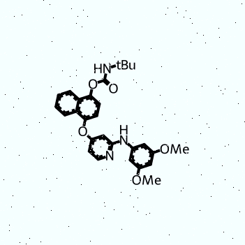 COc1cc(Nc2cc(Oc3ccc(OC(=O)NC(C)(C)C)c4ccccc34)ccn2)cc(OC)c1